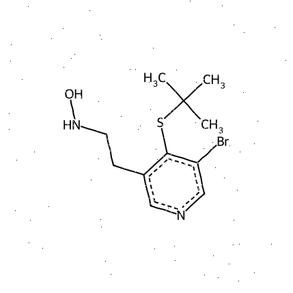 CC(C)(C)Sc1c(Br)cncc1CCNO